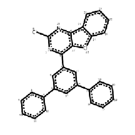 Clc1nc(-c2cc(-c3ccccc3)cc(-c3ccccc3)c2)c2oc3ccccc3c2n1